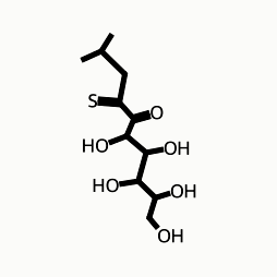 CC(C)CC(=S)C(=O)C(O)C(O)C(O)C(O)CO